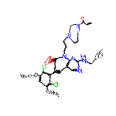 C=CC(=O)N1CCN(CCCn2c(=O)c(-c3c(Cl)c(OC)cc(OC)c3Cl)cc3cnc(NCC(F)(F)F)nc32)CC1